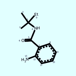 CCC(C)(C)NC(=O)c1ccccc1N